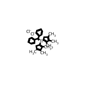 CC1=C(C)C(C)=[C]([Ti+2]([C]2=C(C)C(C)=C(C)C2)=[C](c2ccccc2)c2ccccc2)C1.[Cl-].[Cl-]